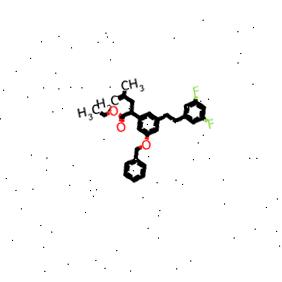 C=C(C)CC(C(=O)OCC)c1cc(CCc2cc(F)cc(F)c2)cc(OCc2ccccc2)c1